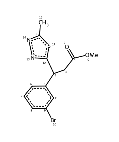 COC(=O)CC(c1cccc(Br)c1)c1nnc(C)s1